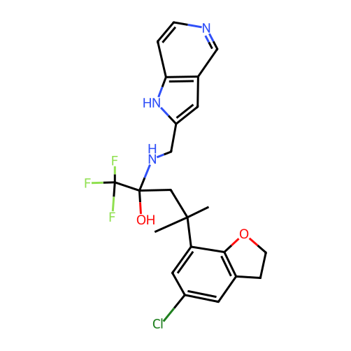 CC(C)(CC(O)(NCc1cc2cnccc2[nH]1)C(F)(F)F)c1cc(Cl)cc2c1OCC2